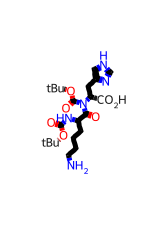 CC(C)(C)OC(=O)NC(CCCCN)C(=O)N(C(=O)OC(C)(C)C)C(Cc1c[nH]cn1)C(=O)O